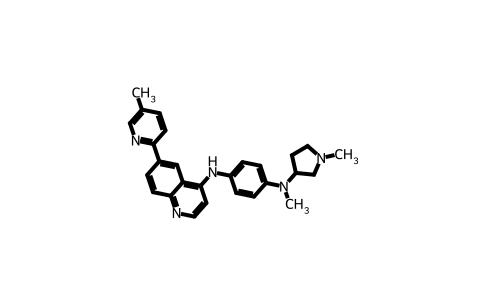 Cc1ccc(-c2ccc3nccc(Nc4ccc(N(C)C5CCN(C)C5)cc4)c3c2)nc1